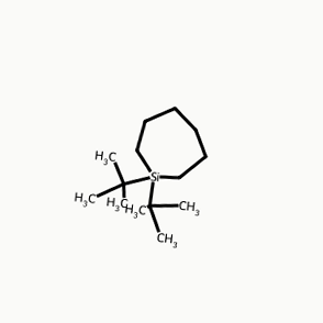 CC(C)(C)[Si]1(C(C)(C)C)CCCCCC1